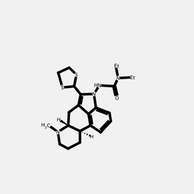 CCN(CC)C(=O)Nn1c(C2SCCS2)c2c3c(cccc31)[C@H]1CCCN(C)[C@@H]1C2